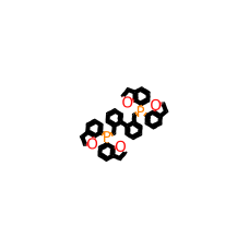 c1ccc(-c2ccccc2CP(c2cccc3c2OCC3)c2cccc3c2OCC3)c(CP(c2cccc3c2OCC3)c2cccc3c2OCC3)c1